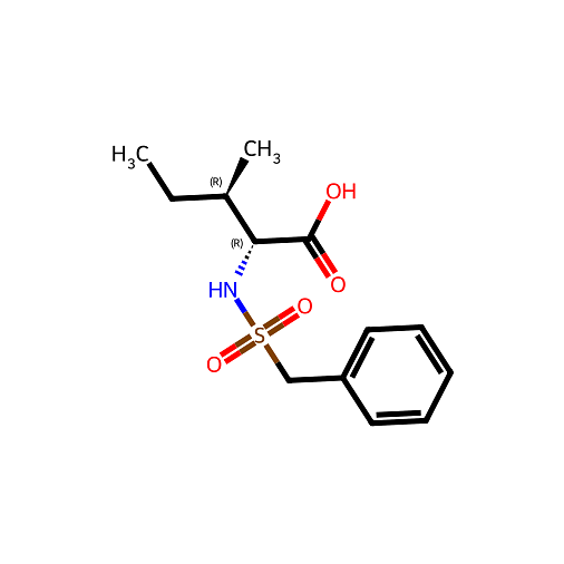 CC[C@@H](C)[C@@H](NS(=O)(=O)Cc1ccccc1)C(=O)O